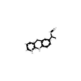 CC(I=O)c1ccc2c(c1)Cc1cccnc1O2